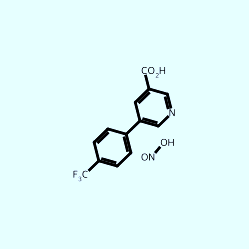 O=C(O)c1cncc(-c2ccc(C(F)(F)F)cc2)c1.O=NO